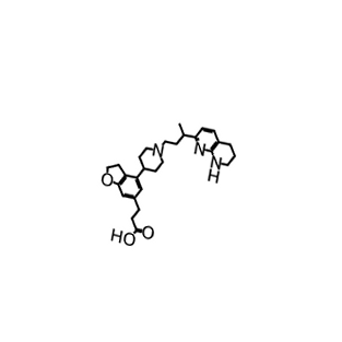 CC(CCN1CCC(c2cc(CCC(=O)O)cc3c2CCO3)CC1)c1ccc2c(n1)NCCC2